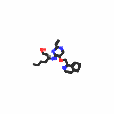 C=Cc1ncc(OCc2nccc3ccccc23)c(N[C@H](CCO)CCCC)n1